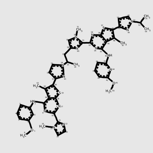 COc1cccc(Nc2nc(-c3nccn3C)nc3sc(-c4ccn(C(C)Cc5cn(C)c(-c6nc(Nc7cccc(OC)n7)c7c(C)c(-c8ccn(C(C)C)n8)sc7n6)n5)n4)c(C)c23)c1